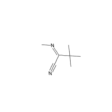 CN=C(C#N)C(C)(C)C